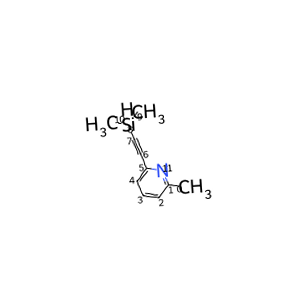 Cc1cccc(C#C[SiH](C)C)n1